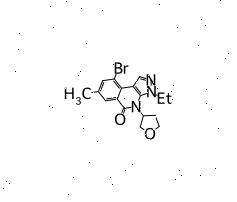 CCn1ncc2c3c(Br)cc(C)cc3c(=O)n(C3CCOC3)c21